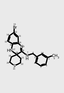 Cc1cccc(CNC2=Nc3cc(Br)ccc3NC23CCSCC3)c1